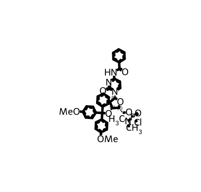 COc1ccc(C(O[C@H]2C[C@H](n3ccc(NC(=O)c4ccccc4)nc3=O)O[C@@H]2COP(=O)(Cl)N(C)C)(c2ccccc2)c2ccc(OC)cc2)cc1